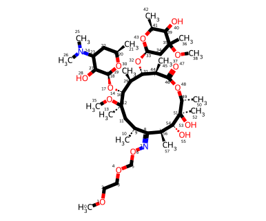 COCCOCO/N=C1\[C@H](C)C[C@@](C)(OC)[C@H](O[C@@H]2O[C@H](C)CC(N(C)C)C2O)[C@@H](C)[C@H](O[C@@H]2CC(C)(OC)C(O)[C@H](C)O2)[C@@H](C)C(=O)O[C@H](C)[C@@](C)(O)[C@H](O)[C@H]1C